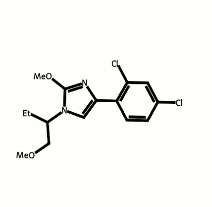 CCC(COC)n1cc(-c2ccc(Cl)cc2Cl)nc1OC